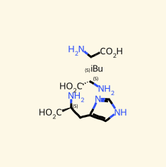 CC[C@H](C)[C@H](N)C(=O)O.NCC(=O)O.N[C@@H](Cc1c[nH]cn1)C(=O)O